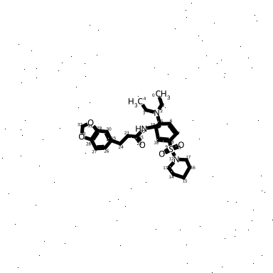 CCN(CC)c1ccc(S(=O)(=O)N2CCCCC2)cc1NC(=O)CCc1ccc2c(c1)OCO2